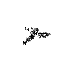 Cc1cc(-c2cnc(N)c(Oc3cnn(C4CC(C#N)C4)c3)n2)cc2c1CCN(C)C2